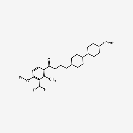 CCCCCC1CCC(C2CCC(CCCC(=O)c3ccc(OCC)c(C(F)F)c3C)CC2)CC1